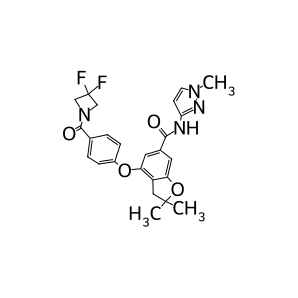 Cn1ccc(NC(=O)c2cc(Oc3ccc(C(=O)N4CC(F)(F)C4)cc3)c3c(c2)OC(C)(C)C3)n1